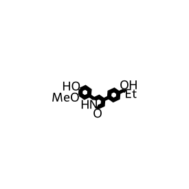 CCC(O)c1ccc(-c2cc(-c3ccc(O)c(OC)c3)[nH]c(=O)c2)cc1